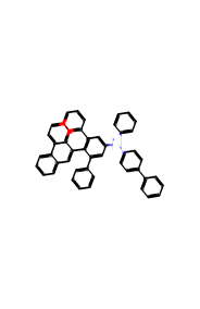 c1ccc(-c2ccc(N(c3ccccc3)c3cc(-c4ccccc4)c(-c4cc5ccccc5c5ccccc45)c(-c4ccccc4)c3)cc2)cc1